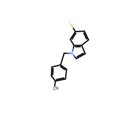 N#Cc1ccc(Cn2ccc3ccc(F)cc32)cc1